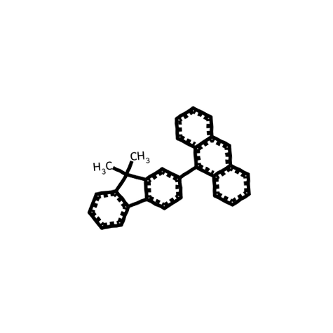 CC1(C)c2ccccc2-c2ccc(-c3c4ccccc4cc4ccccc34)cc21